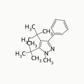 Cn1nc(-c2ccccc2)c(C(C)(C)C)c1C(C)(C)C